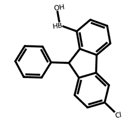 OBc1cccc2c1C(c1ccccc1)c1ccc(Cl)cc1-2